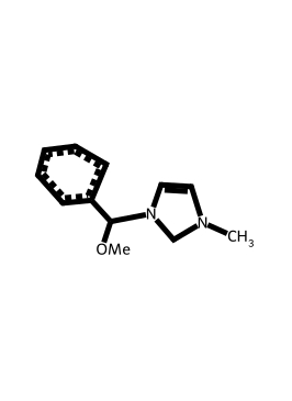 COC(c1ccccc1)N1C=CN(C)C1